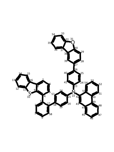 c1ccc(-c2cccc3c2sc2ccccc23)c(-c2ccc(N(c3ccc(-c4ccc5oc6ccccc6c5c4)cc3)c3cc4ccccc4c4ccccc34)cc2)c1